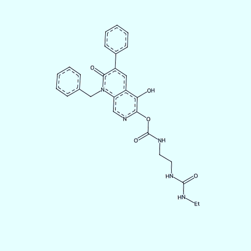 CCNC(=O)NCCNC(=O)Oc1ncc2c(cc(-c3ccccc3)c(=O)n2Cc2ccccc2)c1O